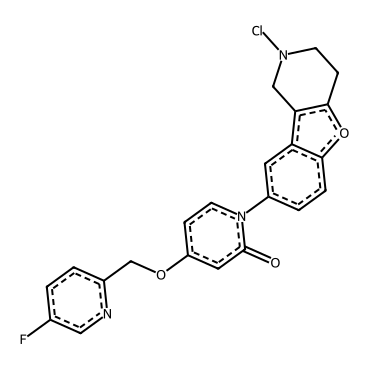 O=c1cc(OCc2ccc(F)cn2)ccn1-c1ccc2oc3c(c2c1)CN(Cl)CC3